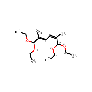 CCOC(OCC)C(C)=CC=C(C)C(OCC)OCC